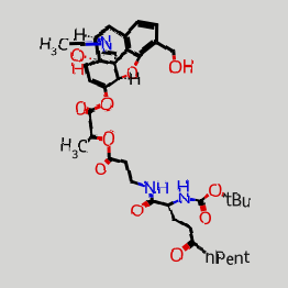 CCCCCC(=O)CC[C@H](NC(=O)OC(C)(C)C)C(=O)NCCC(=O)O[C@@H](C)C(=O)OC1=CC[C@@]2(O)[C@H]3Cc4ccc(CO)c5c4[C@@]2(CCN3C)[C@H]1O5